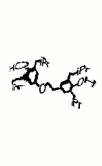 CC(C)Cc1cc(CCOc2cc(CC(C)C)c(O)c(CC(C)C)c2)cc(CC(C)C)c1O